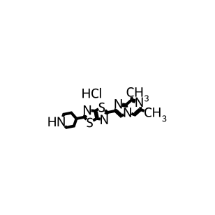 Cc1cn2cc(-c3nc4sc(C5CCNCC5)nc4s3)nc2c(C)n1.Cl